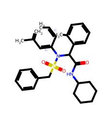 C=C(C)/C=C(\C=C/C)N(C(C(=O)NC1CCCCC1)c1ccccc1C)S(=O)(=O)Cc1ccccc1